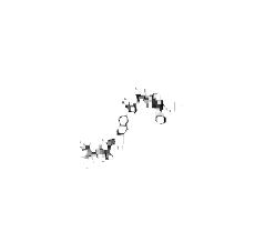 COC(=O)N[C@H](CON1CCC[C@H]1c1ncc(-c2ccc3cc(-c4ccc(-c5cnc([C@@H]6CCCN6C(=O)[C@H](N)c6ccccc6)[nH]5)nn4)ccc3c2)[nH]1)[C@@H](C)O